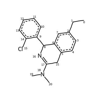 CCc1ccc2c(c1)C(c1ccccc1Cl)N=C(N(C)C)C2